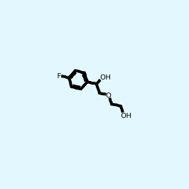 OCCOCC(O)c1ccc(F)cc1